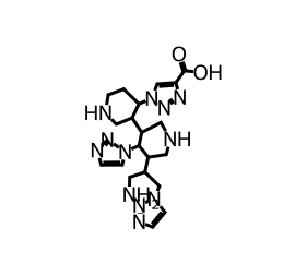 NCC(Cn1ccnn1)C1CNCC(C2CNCCC2n2cc(C(=O)O)nn2)C1n1ccnn1